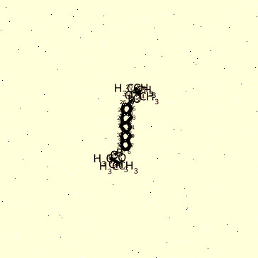 CC1(C)OB(c2ccc3cc4cc5cc6cc(B7OC(C)(C)C(C)(C)O7)ccc6cc5cc4cc3c2)OC1(C)C